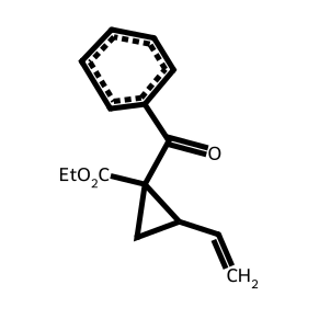 C=CC1CC1(C(=O)OCC)C(=O)c1ccccc1